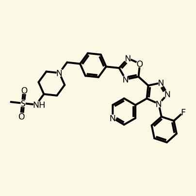 CS(=O)(=O)NC1CCN(Cc2ccc(-c3noc(-c4nnn(-c5ccccc5F)c4-c4ccncc4)n3)cc2)CC1